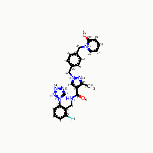 O=C(NCc1c(F)cccc1-n1cnnn1)c1cn(Cc2ccc(Cn3ccccc3=O)cc2)nc1C(F)(F)F